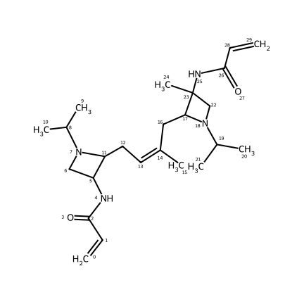 C=CC(=O)NC1CN(C(C)C)C1C/C=C(/C)CC1N(C(C)C)CC1(C)NC(=O)C=C